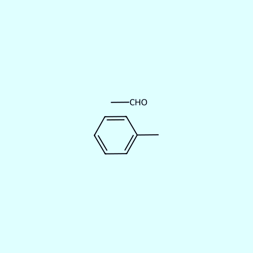 CC=O.Cc1ccccc1